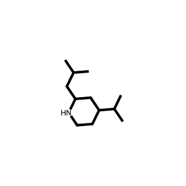 CC(C)CC1CC(C(C)C)CCN1